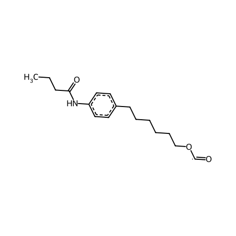 CCCC(=O)Nc1ccc(CCCCCCO[C]=O)cc1